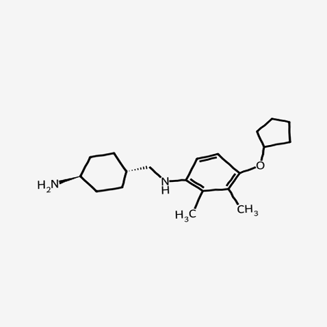 Cc1c(NC[C@H]2CC[C@H](N)CC2)ccc(OC2CCCC2)c1C